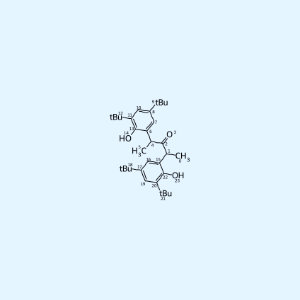 CC(C(=O)C(C)c1cc(C(C)(C)C)cc(C(C)(C)C)c1O)c1cc(C(C)(C)C)cc(C(C)(C)C)c1O